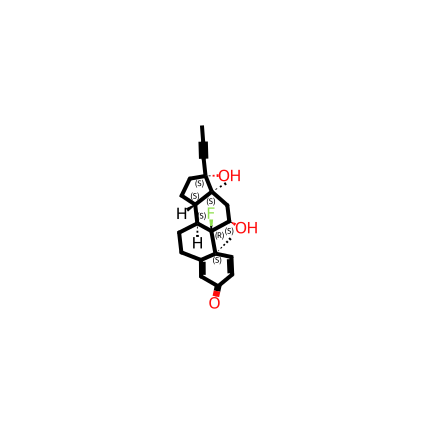 CC#C[C@]1(O)CC[C@H]2[C@@H]3CCC4=CC(=O)C=C[C@]4(C)[C@@]3(F)[C@@H](O)C[C@@]21C